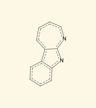 c1ccc2c3ccccc3nc-2nc1